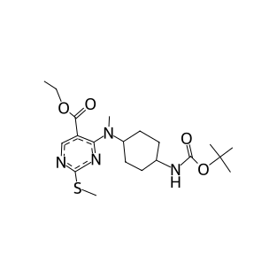 CCOC(=O)c1cnc(SC)nc1N(C)C1CCC(NC(=O)OC(C)(C)C)CC1